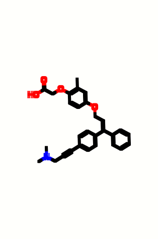 Cc1cc(OCC=C(c2ccccc2)c2ccc(C#CCN(C)C)cc2)ccc1OCC(=O)O